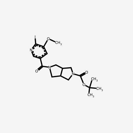 COc1cc(C(=O)N2CC3CN(C(=O)OC(C)(C)C)CC3C2)cnc1I